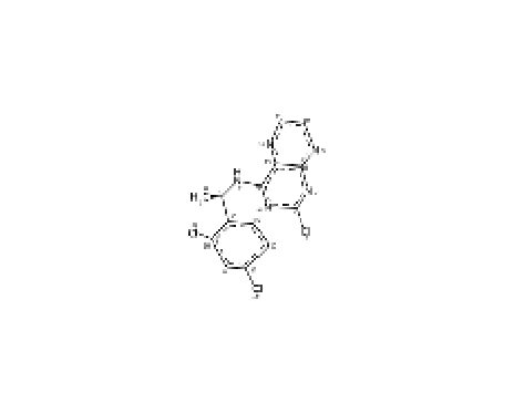 C[C@@H](Nc1nc(Cl)nc2nccnc12)c1ccc(Cl)cc1Cl